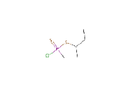 CCC(C)SP(C)(=S)Cl